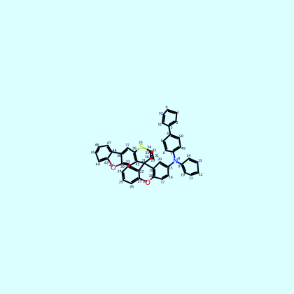 c1ccc(-c2ccc(N(c3ccccc3)c3ccc4c(c3)C3(c5ccccc5O4)c4ccccc4Sc4cc5c(cc43)oc3ccccc35)cc2)cc1